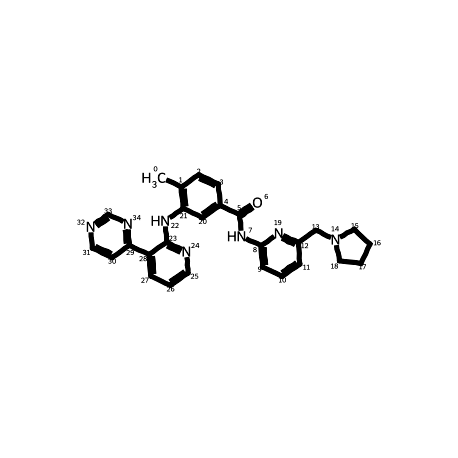 Cc1ccc(C(=O)Nc2cccc(CN3CCCC3)n2)cc1Nc1ncccc1-c1ccncn1